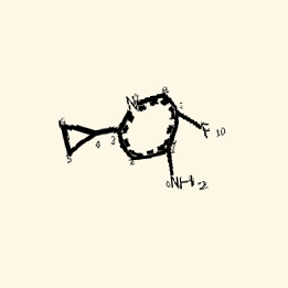 Nc1cc(C2CC2)ncc1F